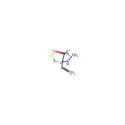 C=C[C@](CS)(NC)C(C)=O